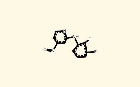 O=Nc1ccnc(Nc2cccc(F)c2F)c1